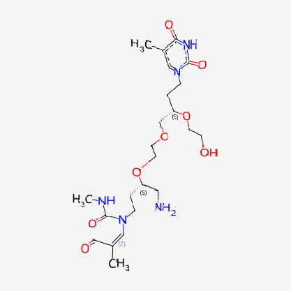 CNC(=O)N(/C=C(/C)C=O)CC[C@@H](CN)OCCOC[C@H](CCn1cc(C)c(=O)[nH]c1=O)OCCO